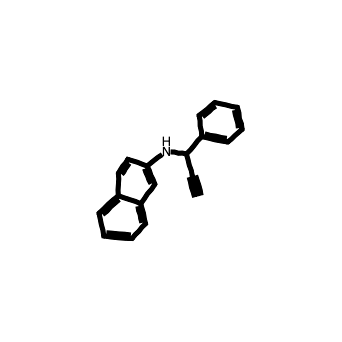 C#CC(Nc1ccc2ccccc2c1)c1ccccc1